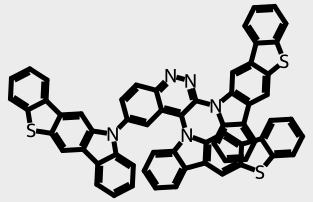 c1ccc2c(c1)sc1cc3c4ccccc4n(-c4ccc5nnc(-n6c7ccccc7c7cc8sc9ccccc9c8cc76)c(-n6c7ccccc7c7cc8sc9ccccc9c8cc76)c5c4)c3cc12